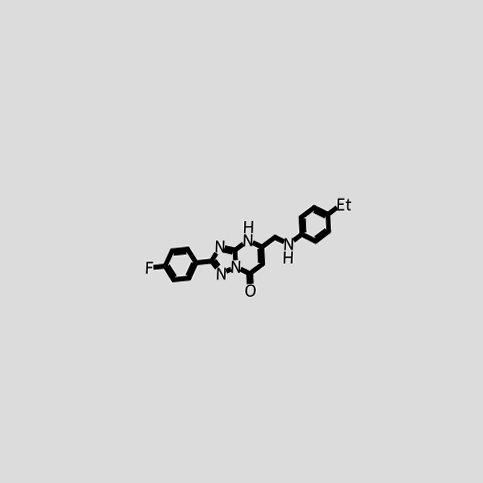 CCc1ccc(NCc2cc(=O)n3nc(-c4ccc(F)cc4)nc3[nH]2)cc1